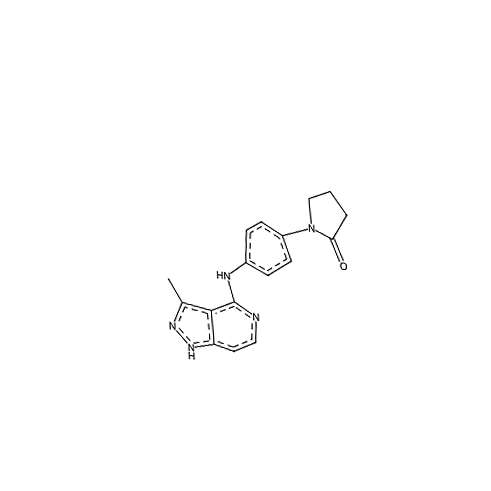 Cc1n[nH]c2ccnc(Nc3ccc(N4CCCC4=O)cc3)c12